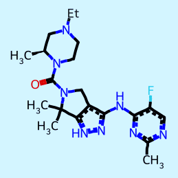 CCN1CCN(C(=O)N2Cc3c(Nc4nc(C)ncc4F)n[nH]c3C2(C)C)[C@@H](C)C1